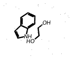 OCCO.c1ccc2[nH]ccc2c1